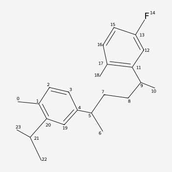 Cc1ccc(C(C)CCC(C)c2cc(F)ccc2C)cc1C(C)C